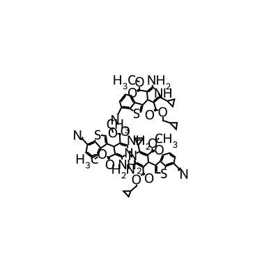 COC(=O)C1=C(N)N(N2C(N)=C(C(=O)OCC3CC3)C(c3csc4c(C#N)cccc34)C(C(=O)OC)=C2C2CC2)C(N)=C(C(=O)OC)C1c1csc2c(C#N)cccc12.COC(=O)C1=C(N)NC(C2CC2)=C(C(=O)OCC2CC2)C1c1csc2c(C#N)cccc12